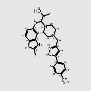 Cc1nc2cc(OC(C(C)O)N3CCN(Cc4cc(-c5ccc(C(F)(F)F)cc5)on4)CC3)ccc2s1